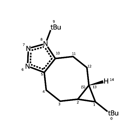 CC(C)(C)C1C2CCc3nnn(C(C)(C)C)c3CC[C@@H]21